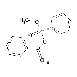 C=C(OP(=O)(OC)c1ccccc1)c1ccccc1